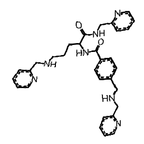 O=C(NC(CCCNCc1ccccn1)C(=O)NCc1ccccn1)c1ccc(CNCc2ccccn2)cc1